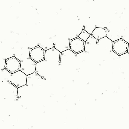 CC[N+]1(NCc2ccccc2)Nc2cc(C(=O)Nc3cccc([S+]([O-])C(CC(=O)O)c4cccnc4)c3)ccc21